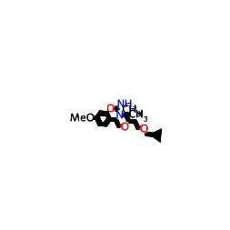 COc1ccc(C2COC(CCOCC3CC3)C(C)(C)N2C(N)=O)cc1